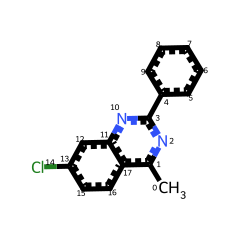 Cc1nc(-c2ccccc2)nc2cc(Cl)ccc12